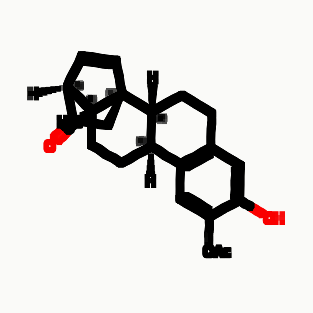 CC(=O)Oc1cc2c(cc1O)CC[C@@H]1[C@@H]2CC[C@]2(C)[C@@H]3C=C[C@]12CC3=O